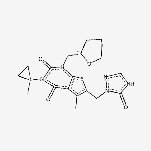 Cc1c(Cn2nc[nH]c2=O)sc2c1c(=O)n(C1(C)CC1)c(=O)n2C[C@@H]1CCCO1